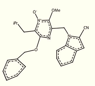 COc1c(Cn2c(C#N)cc3ccccc32)nc(OCc2ccccc2)c(CC(C)C)[n+]1[O-]